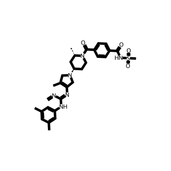 C=N/C(=N\C1=C(C)CN([C@H]2CCN(C(=O)c3ccc(C(=O)NS(C)(=O)=O)cc3)[C@@H](C)C2)C1)Nc1cc(C)cc(C)c1